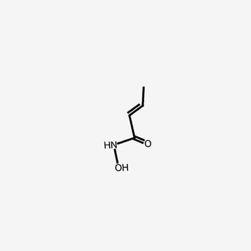 CC=CC(=O)NO